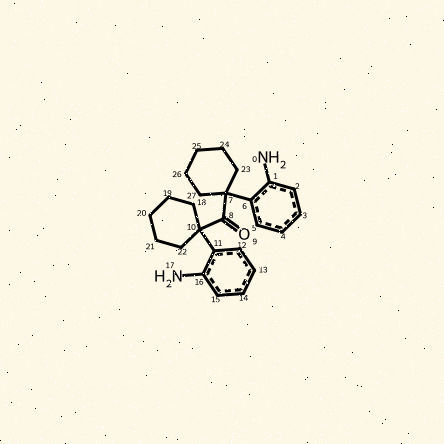 Nc1ccccc1C1(C(=O)C2(c3ccccc3N)CCCCC2)CCCCC1